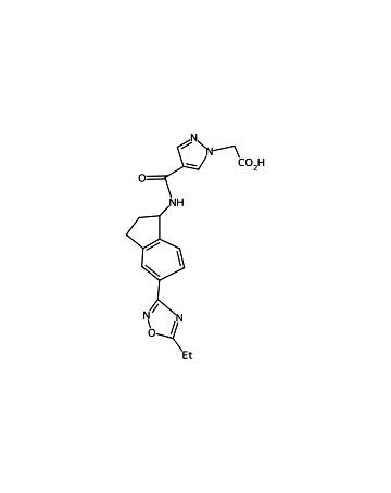 CCc1nc(-c2ccc3c(c2)CCC3NC(=O)c2cnn(CC(=O)O)c2)no1